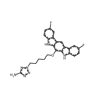 Nc1nnn(CCCCCOc2c3[nH]c4ccc(F)cc4c3cc3c2[nH]c2ccc(F)cc23)n1